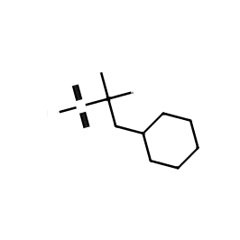 CC(F)(CC1CCCCC1)S(=O)(=O)O